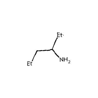 C[CH]C(N)CCC